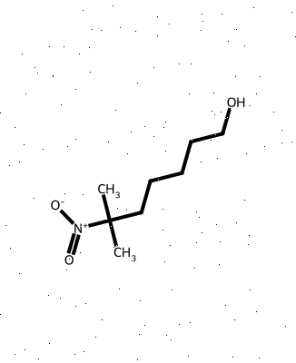 CC(C)(CCCCCO)[N+](=O)[O-]